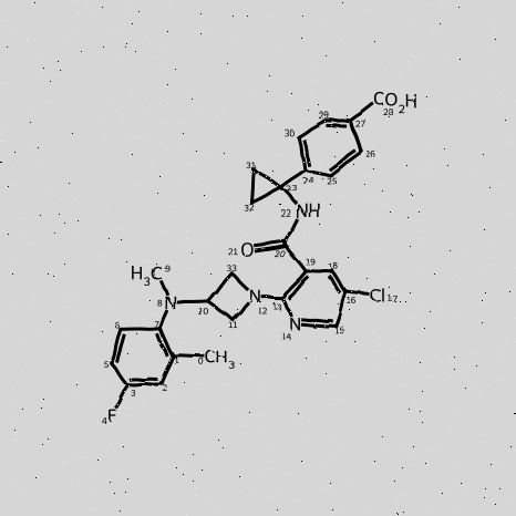 Cc1cc(F)ccc1N(C)C1CN(c2ncc(Cl)cc2C(=O)NC2(c3ccc(C(=O)O)cc3)CC2)C1